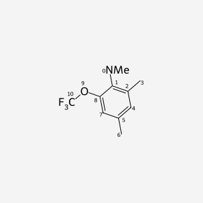 CNc1c(C)cc(C)cc1OC(F)(F)F